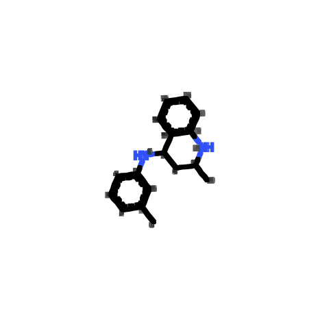 Cc1cccc(NC2CC(C)Nc3ccccc32)c1